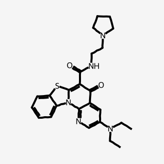 CCN(CC)c1cnc2c(c1)c(=O)c(C(=O)NCCN1CCCC1)c1sc3ccccc3n12